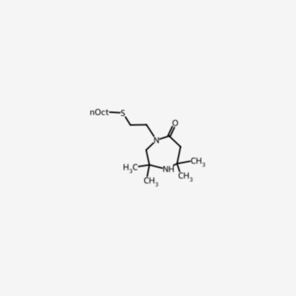 CCCCCCCCSCCN1CC(C)(C)NC(C)(C)CC1=O